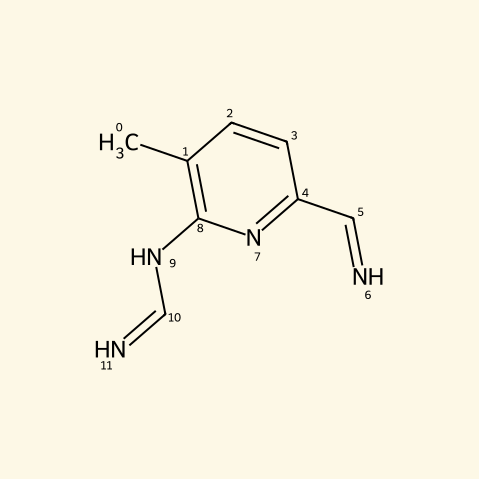 Cc1ccc(C=N)nc1NC=N